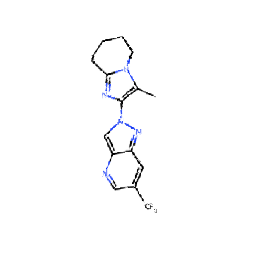 Cc1c(-n2cc3ncc(C(F)(F)F)cc3n2)nc2n1CCCC2